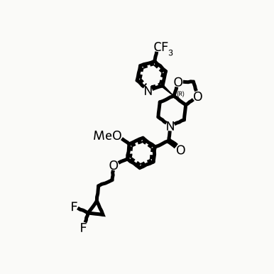 COc1cc(C(=O)N2CC[C@]3(c4cc(C(F)(F)F)ccn4)OCOC3C2)ccc1OCCC1CC1(F)F